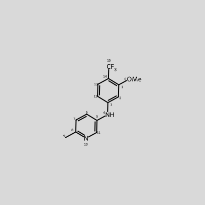 COc1cc(Nc2ccc(C)nc2)ccc1C(F)(F)F